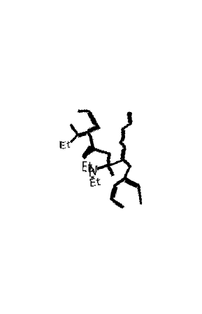 C=C/C=C\C=C(\CC(/C=C\C)=C/C)C(C)(CC(=C)C(/C=C\C)=C(/C)CC)N(CC)CC